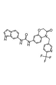 O=C(Nc1ccc2c(c1)OCC(=O)N2Cc1ccc(C(F)(F)F)nc1)Nc1ccc2cc[nH]c2c1